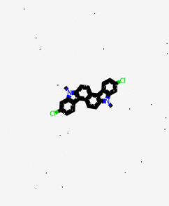 Cn1c2cc(Cl)ccc2c2c3ccc4c(c3ccc21)c1ccc(Cl)cc1n4C